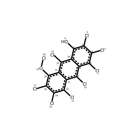 Oc1c(Cl)c(Cl)c(Cl)c2c(Cl)c3c(Cl)c(Cl)c(Cl)c(OCl)c3c(Cl)c12